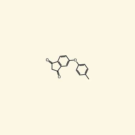 Cc1ccc(Oc2ccc3c(c2)C(=O)CC3=O)cc1